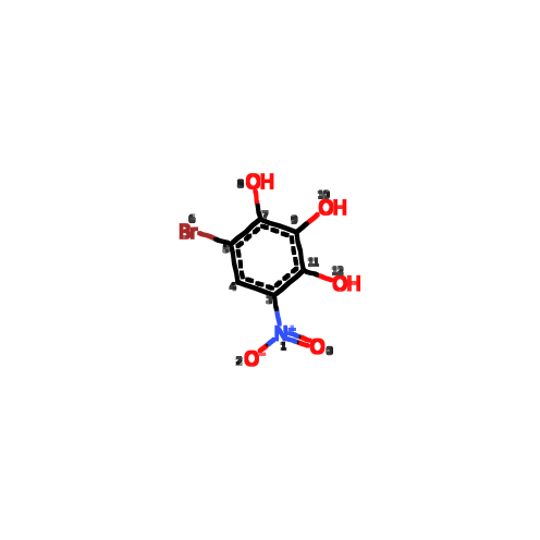 O=[N+]([O-])c1cc(Br)c(O)c(O)c1O